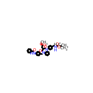 COC(=O)CC1C(=O)N(Cc2ccc(NC(=O)c3ccccc3)cc2)c2ccccc2N(c2ccc(CNC(=O)OC(C)(C)C)cc2)C1=O